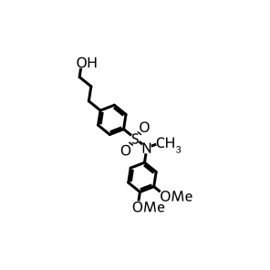 COc1ccc(N(C)S(=O)(=O)c2ccc(CCCO)cc2)cc1OC